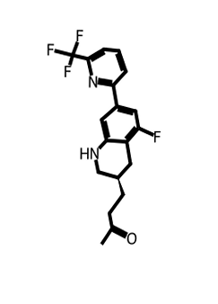 CC(=O)CC[C@H]1CNc2cc(-c3cccc(C(F)(F)F)n3)cc(F)c2C1